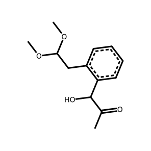 COC(Cc1ccccc1C(O)C(C)=O)OC